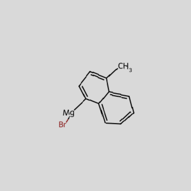 Cc1cc[c]([Mg][Br])c2ccccc12